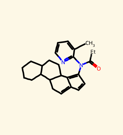 CCC(=O)N(C1=C2C(=CCC3C2CCC2CCCCC23)C=C1)c1ncccc1C